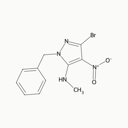 CNc1c([N+](=O)[O-])c(Br)nn1Cc1ccccc1